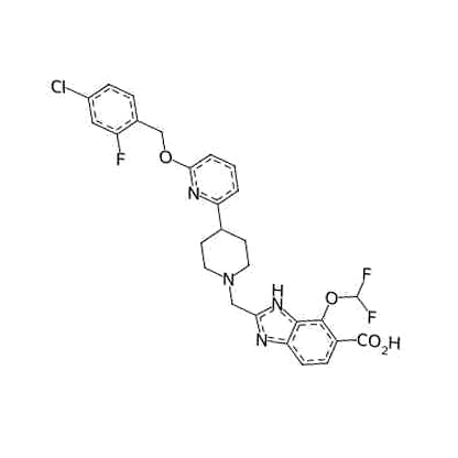 O=C(O)c1ccc2nc(CN3CCC(c4cccc(OCc5ccc(Cl)cc5F)n4)CC3)[nH]c2c1OC(F)F